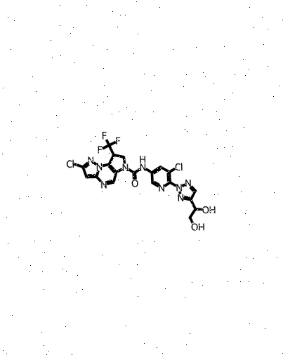 O=C(Nc1cnc(-n2ncc(C(O)CO)n2)c(Cl)c1)N1CC(C(F)(F)F)c2c1cnc1cc(Cl)nn21